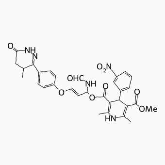 COC(=O)C1=C(C)NC(C)=C(C(=O)OC(C=COc2ccc(C3=NNC(=O)CC3C)cc2)NC=O)C1c1cccc([N+](=O)[O-])c1